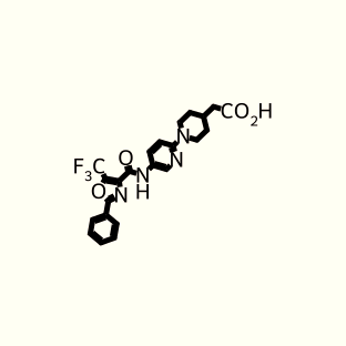 O=C(O)CC1CCN(c2ccc(NC(=O)c3nc(-c4ccccc4)oc3C(F)(F)F)cn2)CC1